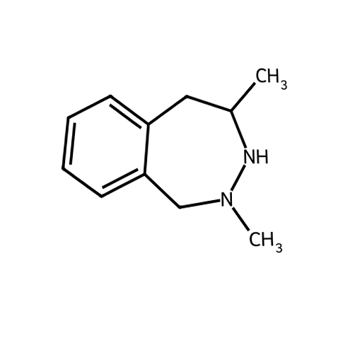 CC1Cc2ccccc2CN(C)N1